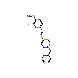 COc1ccc(/C=C/C2=CCN(Cc3ccccc3)CC2)cc1F